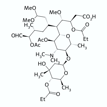 CCC(=O)O[C@H](CC(=O)O)[C@@H](OC)[C@H]([C@@H](CC(OC)OC)C[C@@H](C)[C@H](C=O)OC(C)=O)[C@@H]1O[C@H](C)[C@@H](O[C@@H]2C[C@@](C)(O)[C@@H](OC(=O)CC)[C@H](C)O2)[C@H](N(C)C)[C@H]1OC(C)=O